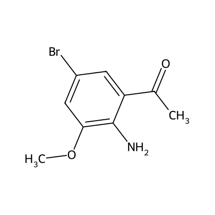 COc1cc(Br)cc(C(C)=O)c1N